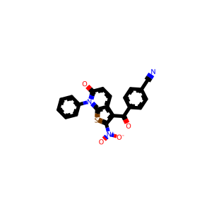 N#Cc1ccc(C(=O)c2c([N+](=O)[O-])sc3c2ccc(=O)n3-c2ccccc2)cc1